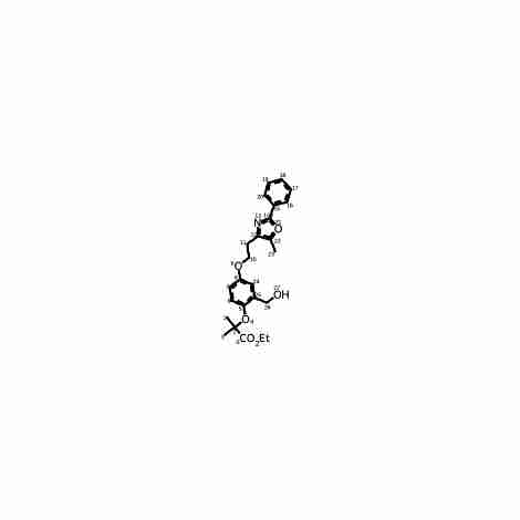 CCOC(=O)C(C)(C)Oc1ccc(OCCc2nc(-c3ccccc3)oc2C)cc1CO